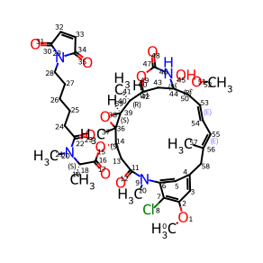 COc1cc2cc(c1Cl)N(C)C(=O)C[C@H](OC(=O)[C@H](C)N(C)C(=O)CCCCCN1C(=O)C=CC1=O)C1(C)O[C@H]1[C@H](C)[C@@H]1C[C@@](O)(NC(=O)O1)[C@H](OC)/C=C/C=C(\C)C2